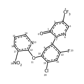 O=c1cc(C(F)(F)F)cnn1-c1cc(Oc2ncccc2[N+](=O)[O-])c(Cl)cc1F